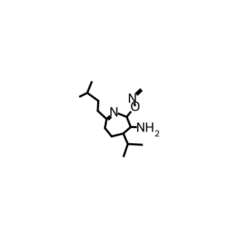 C=NOC1N=C(CCC(C)C)CCC(C(C)C)C1N